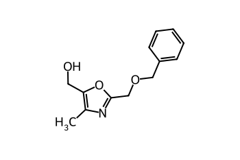 Cc1nc(COCc2ccccc2)oc1CO